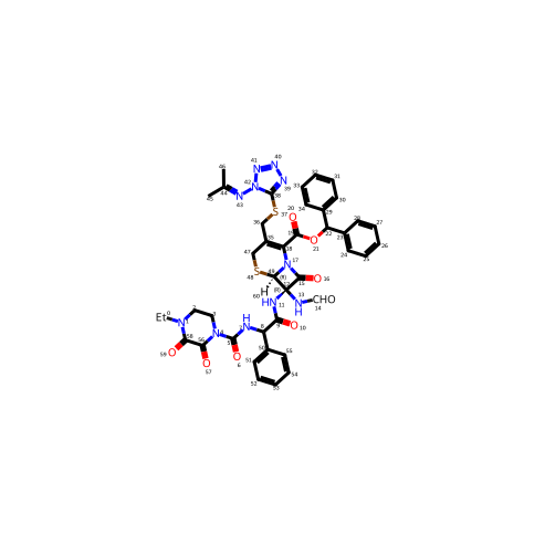 CCN1CCN(C(=O)NC(C(=O)N[C@]2(NC=O)C(=O)N3C(C(=O)OC(c4ccccc4)c4ccccc4)=C(CSc4nnnn4N=C(C)C)CS[C@@H]32)c2ccccc2)C(=O)C1=O